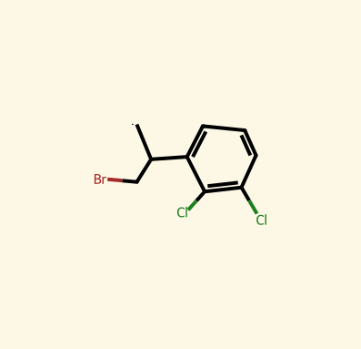 [CH2]C(CBr)c1cccc(Cl)c1Cl